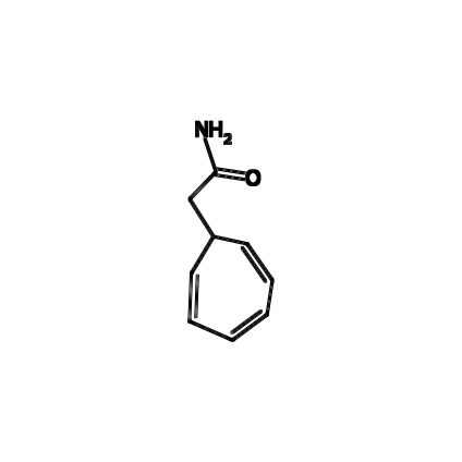 NC(=O)CC1C=CC=CC=C1